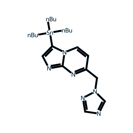 CCC[CH2][Sn]([CH2]CCC)([CH2]CCC)[c]1cnc2nc(Cn3cncn3)ccn12